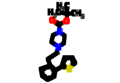 CC(C)(C)OC(=O)N1CCN([CH]Cc2ccccc2-c2cccs2)CC1